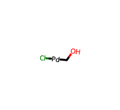 O[CH2][Pd][Cl]